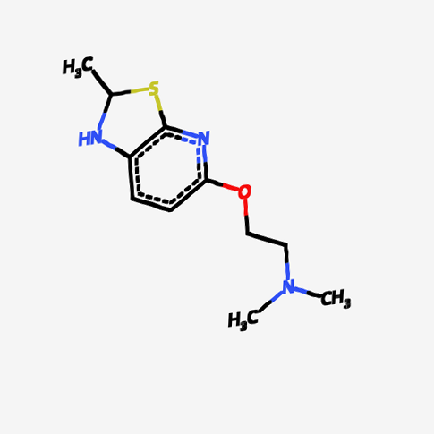 CC1Nc2ccc(OCCN(C)C)nc2S1